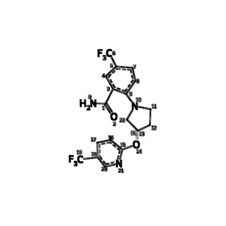 NC(=O)c1cc(C(F)(F)F)ccc1N1CC[C@H](Oc2ccc(C(F)(F)F)cn2)C1